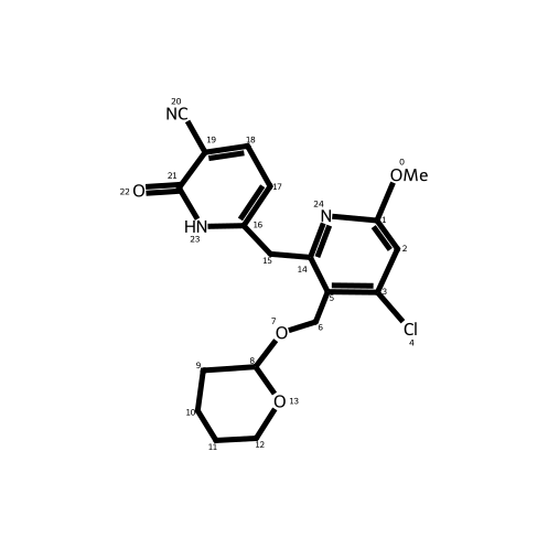 COc1cc(Cl)c(COC2CCCCO2)c(Cc2ccc(C#N)c(=O)[nH]2)n1